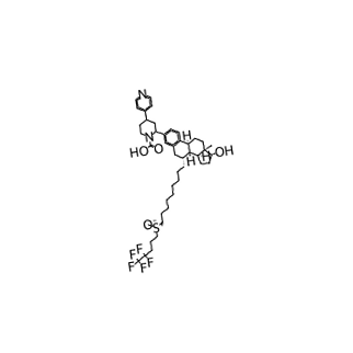 C[C@]12CC[C@@H]3c4ccc(C5CC(c6ccncc6)CCN5C(=O)O)cc4C[C@@H](CCCCCCCCC[S+]([O-])CCCC(F)(F)C(F)(F)F)[C@H]3[C@@H]1CC[C@@H]2O